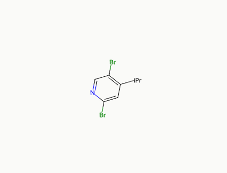 CC(C)c1cc(Br)ncc1Br